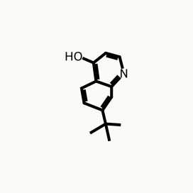 CC(C)(C)c1ccc2c(O)ccnc2c1